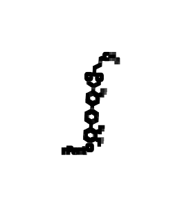 C=CCCC1OCC(c2ccc(-c3ccc(-c4ccc(OCCCCC)c(F)c4F)cc3)cc2F)CO1